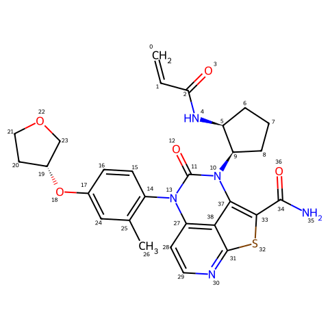 C=CC(=O)N[C@H]1CCC[C@H]1N1C(=O)N(c2ccc(O[C@@H]3CCOC3)cc2C)c2ccnc3sc(C(N)=O)c1c23